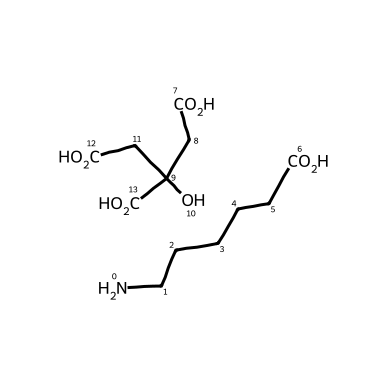 NCCCCCC(=O)O.O=C(O)CC(O)(CC(=O)O)C(=O)O